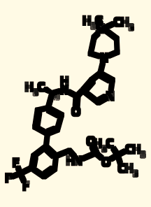 C[C@@H](NC(=O)c1cncc(N2CC[Si](C)(C)CC2)c1)c1ccc(-c2cc(C(F)(F)F)ccc2CNC(=O)OC(C)(C)C)cc1